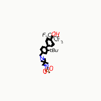 CC(C)(C)c1cc(CN2CC3(C2)CN(S(C)(=O)=O)C3)ccc1-c1ccc(C(O)(C(F)(F)F)C(F)(F)F)cc1